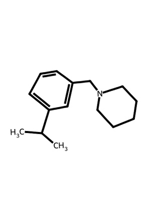 CC(C)c1cccc(CN2CCCCC2)c1